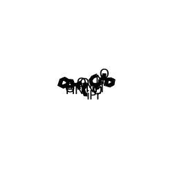 CC(C)CC(NC(=O)c1cc2ccccc2o1)C(=O)N[C@H]1CCCN(C(=O)c2ccccc2)CC1=O